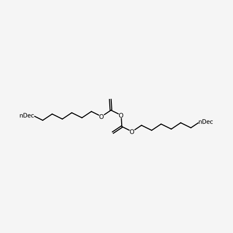 C=C(OCCCCCCCCCCCCCCCC)OC(=C)OCCCCCCCCCCCCCCCC